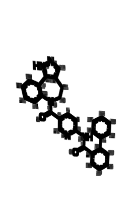 O=C(Nc1ccc(C(=O)N2CCc3cn[nH]c3-c3ccccc32)cn1)c1ccccc1-c1ccccc1